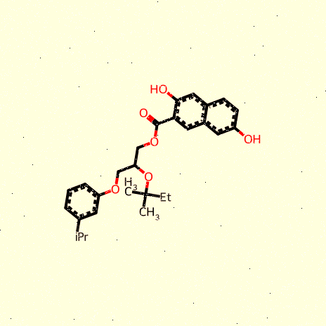 CCC(C)(C)OC(COC(=O)c1cc2cc(O)ccc2cc1O)COc1cccc(C(C)C)c1